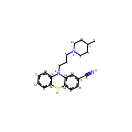 CC1CCN(CCCN2c3ccccc3Sc3ccc(C#N)cc32)CC1